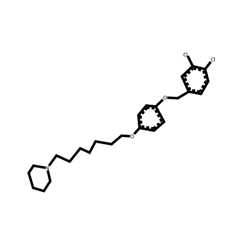 Clc1ccc(COc2ccc(OCCCCCCCN3CCCCC3)cc2)cc1Cl